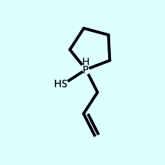 C=CC[PH]1(S)CCCC1